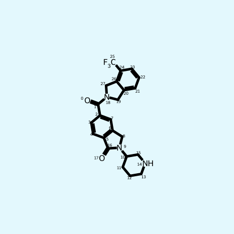 O=C(c1ccc2c(c1)CN(C1CCCNC1)C2=O)N1Cc2cccc(C(F)(F)F)c2C1